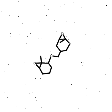 CC12CCC(COC3CCCC4OC34C)CC1O2